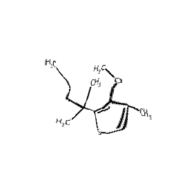 CCCC(C)(C)c1scc(C)c1OC